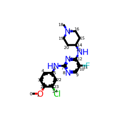 COc1ccc(Nc2ncc(F)c(NC3CCN(C)CC3)n2)cc1Cl